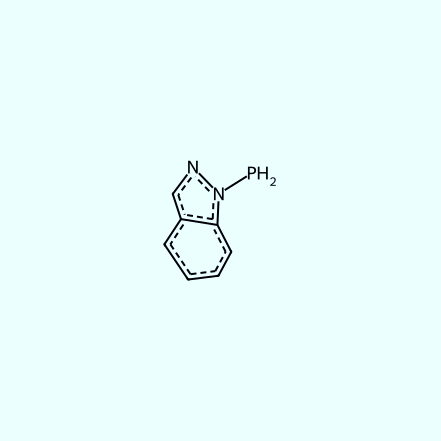 Pn1ncc2ccccc21